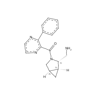 NC[C@@H]1[C@H]2C[C@H]2CN1C(=O)c1nccnc1-c1ccccc1